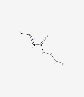 C/N=N/C(=S)CCSC